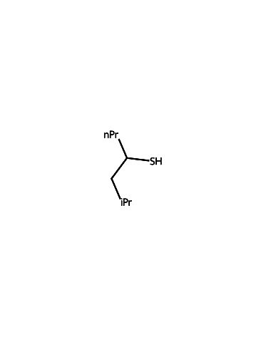 CCCC(S)CC(C)C